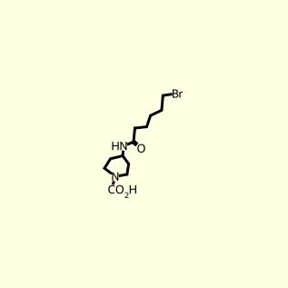 O=C(CCCCCBr)NC1CCN(C(=O)O)CC1